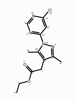 CCOC(=O)Cc1c(C)nn(-c2cc(Cl)ncn2)c1C